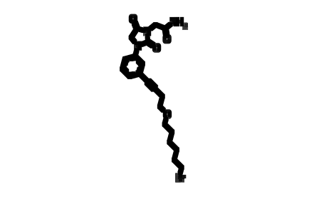 NC(=O)CN1C(=O)CN(c2cccc(C#CCCOCCCCCCBr)c2)C1=O